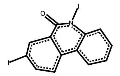 O=c1c2cc(I)ccc2c2ccccc2n1I